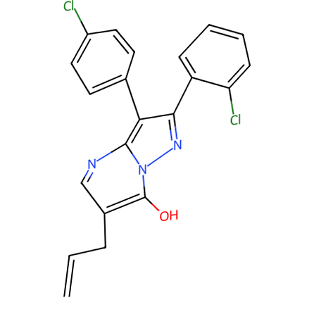 C=CCc1cnc2c(-c3ccc(Cl)cc3)c(-c3ccccc3Cl)nn2c1O